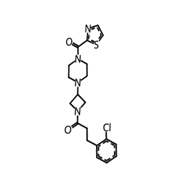 O=C(CCc1ccccc1Cl)N1CC(N2CCN(C(=O)c3nccs3)CC2)C1